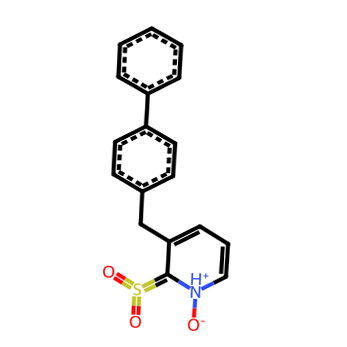 O=S(=O)=C1C(Cc2ccc(-c3ccccc3)cc2)=CC=C[NH+]1[O-]